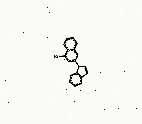 Brc1cc(C2C=Cc3ccccc32)cc2ccccc12